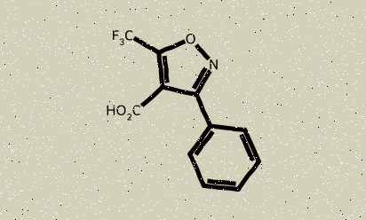 O=C(O)c1c(-c2ccccc2)noc1C(F)(F)F